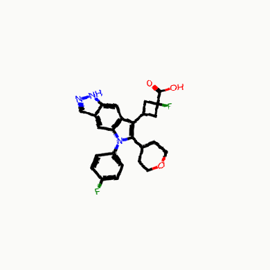 O=C(O)C1(F)CC(c2c(C3CCOCC3)n(-c3ccc(F)cc3)c3cc4cn[nH]c4cc23)C1